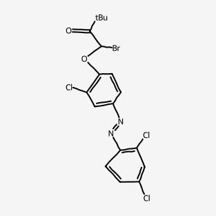 CC(C)(C)C(=O)C(Br)Oc1ccc(N=Nc2ccc(Cl)cc2Cl)cc1Cl